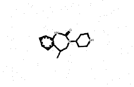 CC1CN(C2CCNCC2)C(=O)Nc2ccccc21